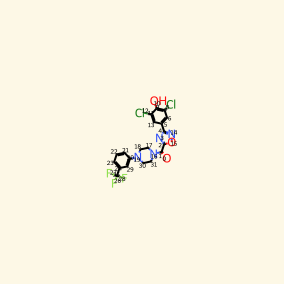 O=C(c1nc(-c2cc(Cl)c(O)c(Cl)c2)no1)N1CCN(c2cccc(C(F)(F)F)c2)CC1